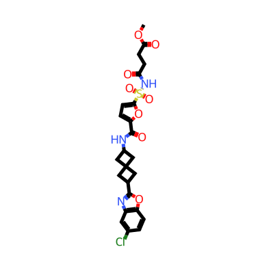 COC(=O)CCC(=O)NS(=O)(=O)c1ccc(C(=O)NC2CC3(C2)CC(c2nc4cc(Cl)ccc4o2)C3)o1